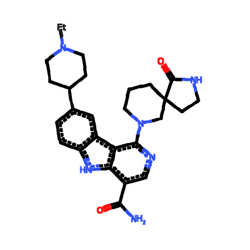 CCN1CCC(c2ccc3[nH]c4c(C(N)=O)cnc(N5CCCC6(CCNC6=O)C5)c4c3c2)CC1